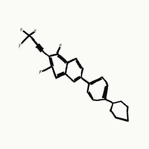 Fc1cc2cc(-c3ccc(C4CCCCC4)cc3)ccc2c(F)c1C#CC(F)(F)F